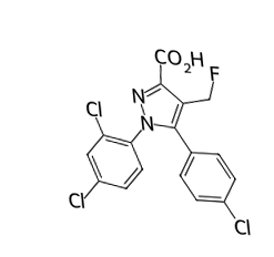 O=C(O)c1nn(-c2ccc(Cl)cc2Cl)c(-c2ccc(Cl)cc2)c1CF